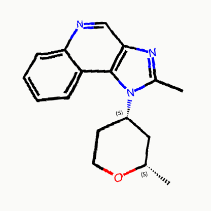 Cc1nc2cnc3ccccc3c2n1[C@H]1CCO[C@@H](C)C1